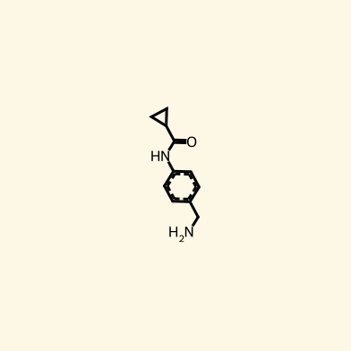 NCc1ccc(NC(=O)C2CC2)cc1